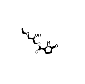 CCOCC(O)COC(=O)C1CCC(=O)N1